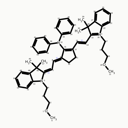 COCCCN1/C(=C/C=C2\CCC(/C=C/C3=[N+](CCCOC)c4ccccc4C3(C)C)=C2N(c2ccccc2)c2ccccc2)C(C)(C)c2ccccc21